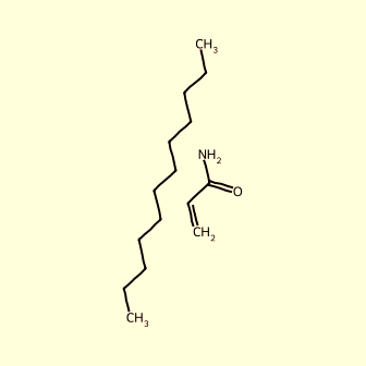 C=CC(N)=O.CCCCCCCCCCCC